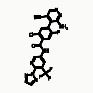 C#Cc1cnnc(N)c1-c1cc(Cl)c(C(=O)Nc2cnc(-n3nccn3)c(C(F)(F)F)c2)cc1F